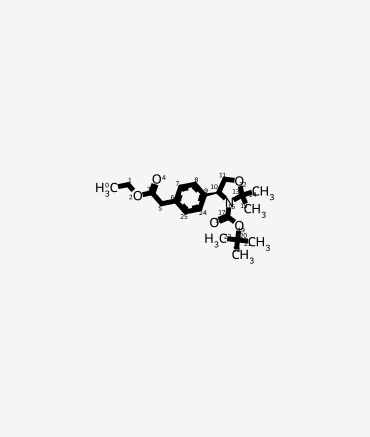 CCOC(=O)Cc1ccc([C@H]2COC(C)(C)N2C(=O)OC(C)(C)C)cc1